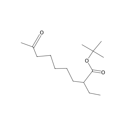 CCC(CCCCCC(C)=O)C(=O)OC(C)(C)C